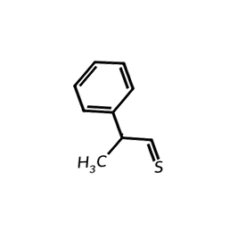 C[C](C=S)c1ccccc1